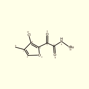 Cc1coc(C(=O)C(=O)NC(C)(C)C)c1Cl